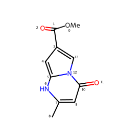 COC(=O)c1cc2[nH]c(C)cc(=O)n2c1